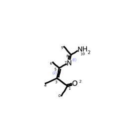 CC(=O)/C(C)=C(C)\N=C(/C)N